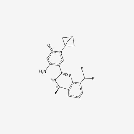 C[C@@H](NC(=O)c1cn(C23CC(C2)C3)c(=O)cc1N)c1cccc(C(F)F)c1F